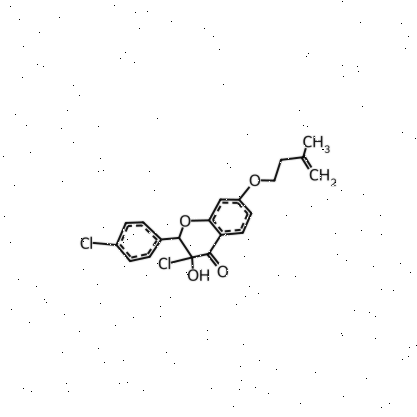 C=C(C)CCOc1ccc2c(c1)OC(c1ccc(Cl)cc1)C(O)(Cl)C2=O